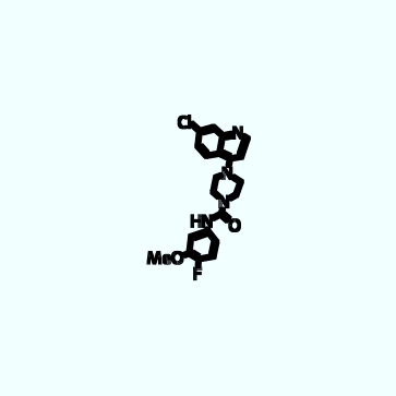 COc1cc(NC(=O)N2CCN(c3ccnc4cc(Cl)ccc34)CC2)ccc1F